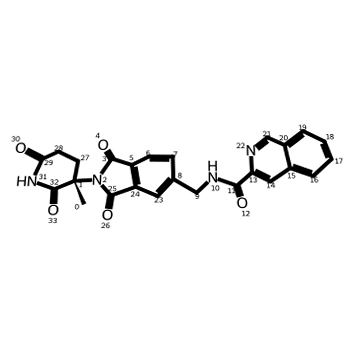 C[C@]1(N2C(=O)c3ccc(CNC(=O)c4cc5ccccc5cn4)cc3C2=O)CCC(=O)NC1=O